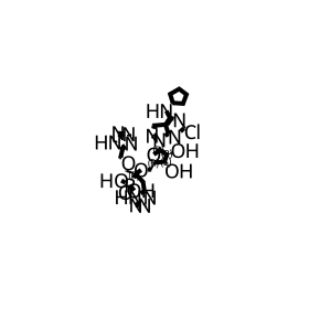 O=P(O)(O)[C@@](COCc1nnn[nH]1)(Cc1nnn[nH]1)OC[C@H]1O[C@@H](n2ncc3c(NC4CCCC4)nc(Cl)nc32)[C@H](O)[C@@H]1O